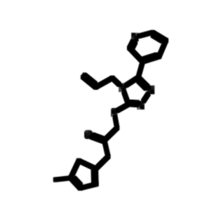 C=CCn1c(SCC(=O)CC2=CC=C(C)C2)nnc1-c1cccnc1